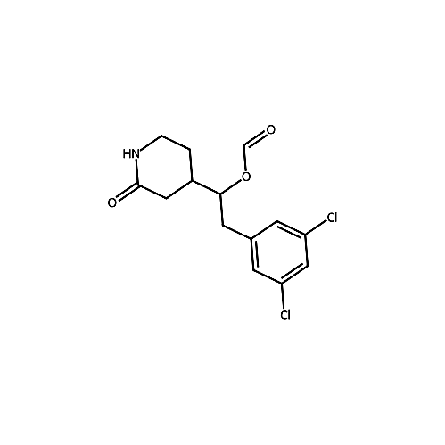 O=COC(Cc1cc(Cl)cc(Cl)c1)C1CCNC(=O)C1